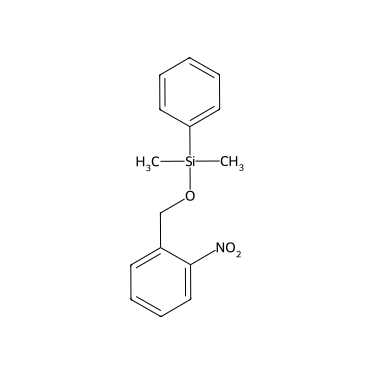 C[Si](C)(OCc1ccccc1[N+](=O)[O-])c1ccccc1